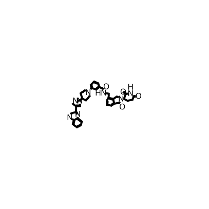 O=C1CCC(N2Cc3c(CNC(=O)c4cccc(N5CCC(n6cc(-c7cnc8ccccc8n7)cn6)CC5)c4)cccc3C2=O)C(=O)N1